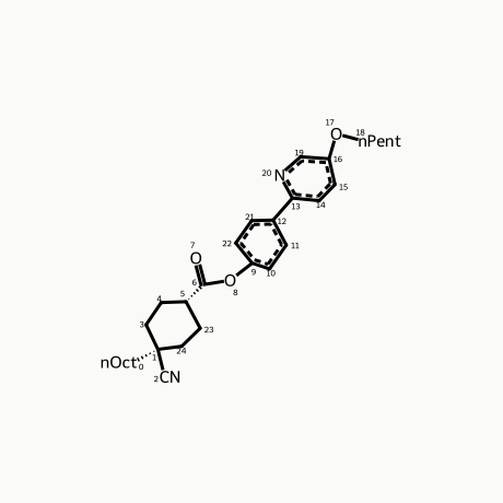 CCCCCCCC[C@]1(C#N)CC[C@H](C(=O)Oc2ccc(-c3ccc(OCCCCC)cn3)cc2)CC1